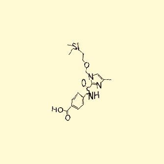 Cc1cn(COCC[Si](C)(C)C)c(S(=N)(=O)c2ccc(C(=O)O)cc2)n1